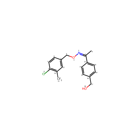 CC(=NOCc1ccc(Cl)c(C(F)(F)F)c1)c1ccc(CO)cc1